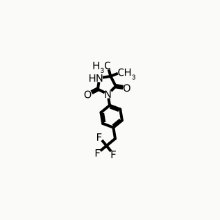 CC1(C)NC(=O)N(c2ccc(CC(F)(F)F)cc2)C1=O